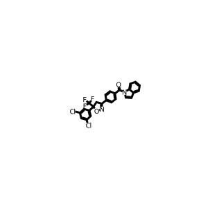 O=C(c1ccc(C2=NOC(c3cc(Cl)cc(Cl)c3)(C(F)(F)F)C2)cc1)n1ccc2ccccc21